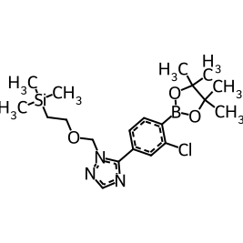 CC1(C)OB(c2ccc(-c3ncnn3COCC[Si](C)(C)C)cc2Cl)OC1(C)C